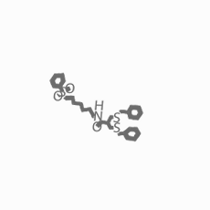 O=C(NCCCCCC=CS(=O)(=O)c1ccccc1)C(CSCc1ccccc1)CSCc1ccccc1